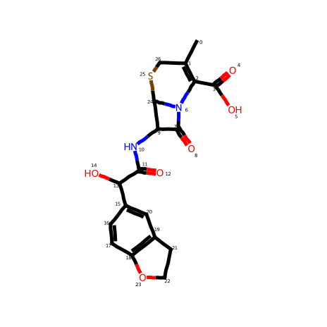 CC1=C(C(=O)O)N2C(=O)C(NC(=O)C(O)c3ccc4c(c3)CCO4)C2SC1